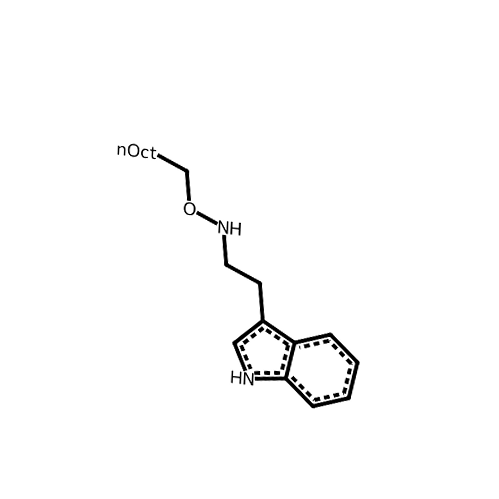 CCCCCCCCCONCCc1c[nH]c2ccccc12